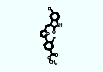 COC(=O)c1ccc(-c2ccc(C=C3C(=O)Nc4ccc(Cl)cc43)o2)c(F)c1